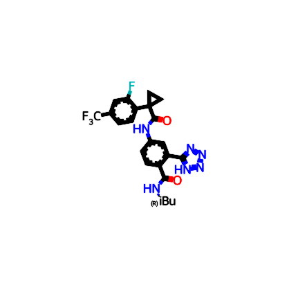 CC[C@@H](C)NC(=O)c1ccc(NC(=O)C2(c3ccc(C(F)(F)F)cc3F)CC2)cc1-c1nnn[nH]1